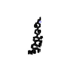 C/C=C/C1CCC(C2CCC(c3ccc(-c4ccc(OCC)c(F)c4F)c(F)c3F)CO2)OC1